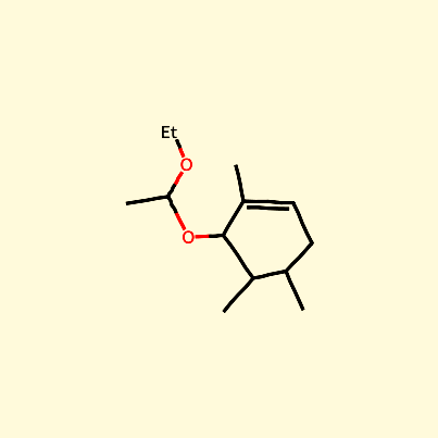 CCOC(C)OC1C(C)=CCC(C)C1C